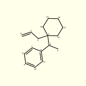 C=CCC1(C(C)c2[c]cccc2)CCCCC1